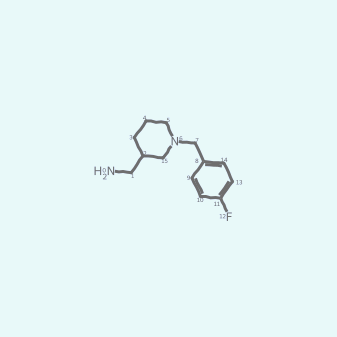 NCC1CCCN(Cc2ccc(F)cc2)C1